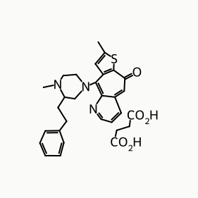 Cc1cc2c(N3CCN(C)C(CCc4ccccc4)C3)c3ncccc3cc(=O)c2s1.O=C(O)CCC(=O)O